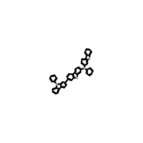 c1ccc(N(c2ccc3c(c2)oc2cc(-c4ccc5c6ccccc6n(-c6ccccc6)c5c4)ccc23)c2ccc3c(c2)sc2ccccc23)cc1